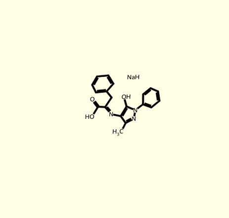 Cc1nn(-c2ccccc2)c(O)c1N=C(Cc1ccccc1)C(=O)O.[NaH]